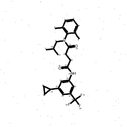 Cc1cccc(C)c1N(CC(C)C)C(=O)CCC(=O)Nc1cc(C2CC2)cc(C(F)(F)F)c1